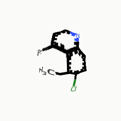 Cc1c(Cl)ccc2nccc(C(C)C)c12